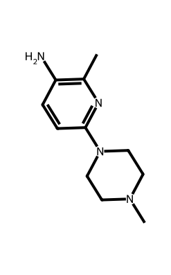 Cc1nc(N2CCN(C)CC2)ccc1N